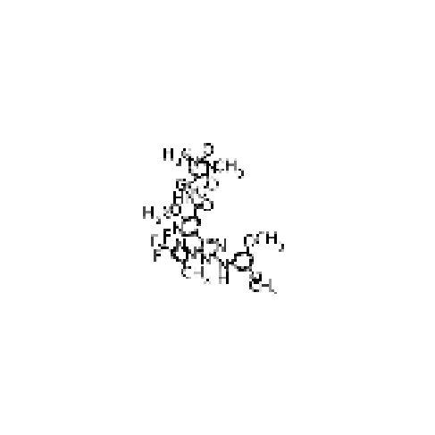 COc1cc(Nc2ncc(-c3cnc(OC)c(C(=O)NS(=O)(=O)c4cn(C)c(=O)n(C)c4=O)c3)c(-n3nc(C(F)(F)F)cc3C)n2)cc(OC)c1